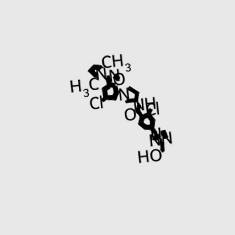 Cc1ccc(C)n1-c1noc2c(N3CC[C@@H](NC(=O)c4ccc(-n5cnc(CO)n5)cc4Cl)C3)cc(Cl)cc12